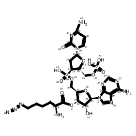 [N-]=[N+]=NCCCC[C@H](N)C(=O)O[C@H]1[C@@H](O)[C@H](n2cnc3c(N)ncnc32)O[C@@H]1COP(=O)(O)[C@H]1C[C@H](n2ccc(N)nc2=O)O[C@@H]1COP(=O)(O)O